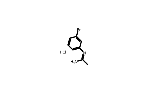 CC(N)=Nc1cccc(Br)c1.Cl